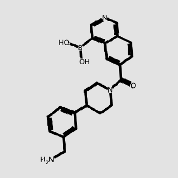 NCc1cccc(C2CCN(C(=O)c3ccc4cncc(B(O)O)c4c3)CC2)c1